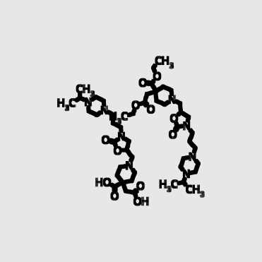 CC(C)N1CCN(CCCN2CC(CN3CCC(CC(=O)O)(C(=O)O)CC3)OC2=O)CC1.CCOC(=O)CC1(C(=O)OCC)CCN(CC2CN(CCCN3CCN(C(C)C)CC3)C(=O)O2)CC1